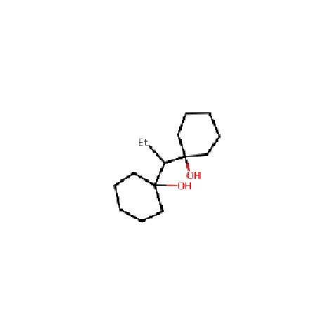 CCC(C1(O)CCCCC1)C1(O)CCCCC1